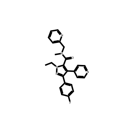 CCn1nc(-c2ccc(F)cc2)c(-c2ccncc2)c1C(=O)N(C)Cc1ccccn1